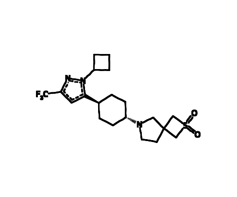 O=S1(=O)CC2(CCN([C@H]3CC[C@H](c4cc(C(F)(F)F)nn4C4CCC4)CC3)C2)C1